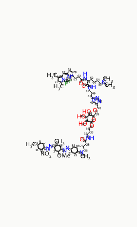 COc1cc(/N=N/c2ccc(C)cc2[N+](=O)[O-])c(C)cc1/N=N/c1ccc(N(C)CCCC(=O)NCCCO[C@@H]2O[C@H](COCc3cn(CCCNC(=O)[C@H](CCCCN(C)C)NC(=O)CCC4=[N+]5C(=Cc6c(C)cc(C)n6[B-]5(F)F)C=C4)nn3)[C@@H](O)[C@H](O)[C@H]2O)cc1